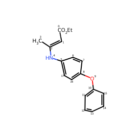 CCOC(=O)C=C(C)Nc1ccc(Oc2ccccc2)cc1